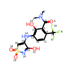 CN(C)C(=O)c1c(C(F)(F)F)ccc(NC2=CS(=O)(=O)N=C2O)c1O